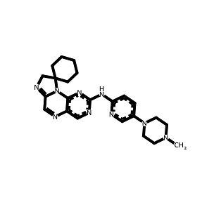 CN1CCN(c2ccc(Nc3ncc4c(n3)N3C(=NCC35CCCCC5)C=N4)nc2)CC1